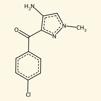 Cn1cc(N)c(C(=O)c2ccc(Cl)cc2)n1